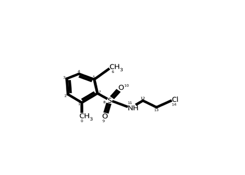 Cc1cccc(C)c1S(=O)(=O)NCCCl